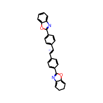 C1=c2nc(-c3ccc(/C=C/c4ccc(-c5nc6ccccc6o5)cc4)cc3)oc2=CCC1